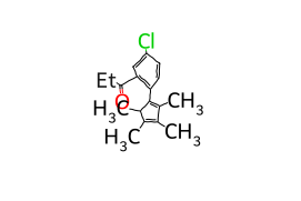 CCC(=O)c1cc(Cl)ccc1C1=C(C)C(C)=C(C)C1C